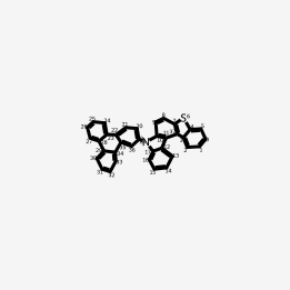 c1ccc2c(c1)sc1ccc3c(c4ccccc4n3-c3ccc4c5ccccc5c5ccccc5c4c3)c12